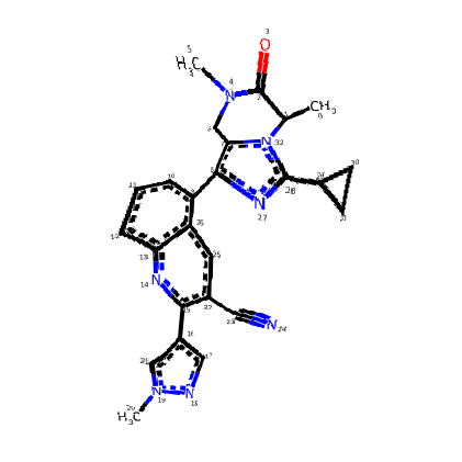 CC1C(=O)N(C)Cc2c(-c3cccc4nc(-c5cnn(C)c5)c(C#N)cc34)nc(C3CC3)n21